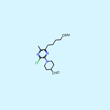 COCCCCc1nc(N2CCC(C=O)CC2)c(Cl)nc1C